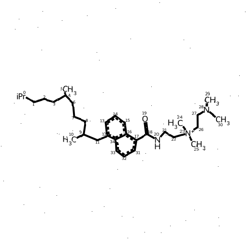 CC(C)CCCC(C)CCCC(C)Cc1cccc2c(C(=O)NCC[N+](C)(C)CCN(C)C)cccc12